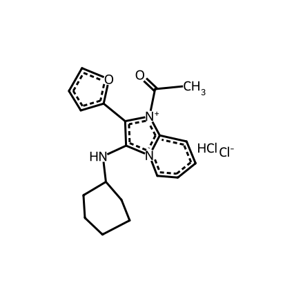 CC(=O)[n+]1c(-c2ccco2)c(NC2CCCCC2)n2ccccc21.Cl.[Cl-]